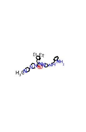 CCc1ccc(C[C@@H](NC(=O)N2CCC(NCCc3ccccc3N)CC2)C(=O)N2CCCN(C3CCN(C)CC3)CC2)cc1CC